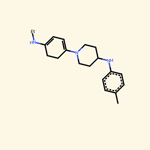 CCNC1=CC=C(N2CCC(Nc3ccc(C)cc3)CC2)CC1